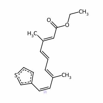 CCOC(=O)C=C(C)C=CC=C(C)/C=C\c1ccsc1